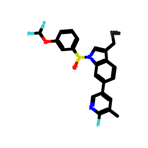 CNCc1cn([S+]([O-])c2cccc(OC(F)F)c2)c2cc(-c3cnc(F)c(C)c3)ccc12